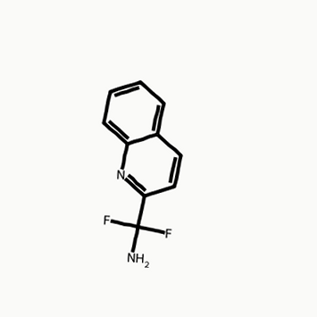 NC(F)(F)c1ccc2ccccc2n1